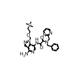 C[Si](C)(C)CCOCn1ncc2c(N)ncc(NC(=O)C(=O)N(Cc3ccccc3)Cc3ncccn3)c21